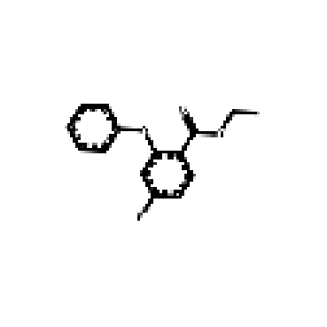 CCOC(=O)c1ccc(F)cc1Oc1ccccc1